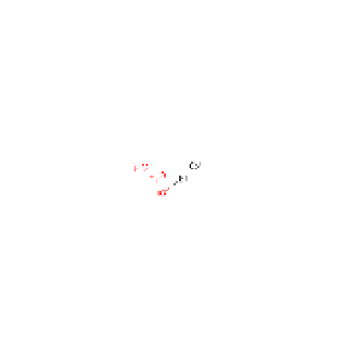 CCO.O.[Cs+].[OH-]